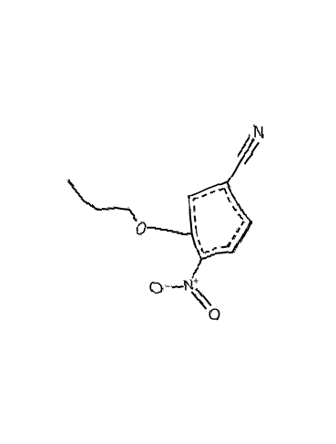 CCCOc1cc(C#N)ccc1[N+](=O)[O-]